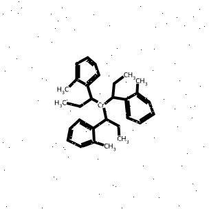 CC[CH](c1ccccc1C)[Cr]([CH](CC)c1ccccc1C)[CH](CC)c1ccccc1C